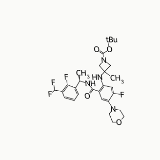 C[C@@H](NC(=O)c1cc(N2CCOCC2)c(F)cc1NC1(C)CN(C(=O)OC(C)(C)C)C1)c1cccc(C(F)F)c1F